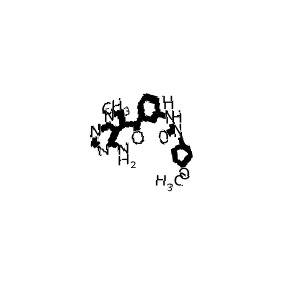 COc1ccc(NC(=O)Nc2cccc(C(=O)c3cn(C)c4ncnc(N)c34)c2)cc1